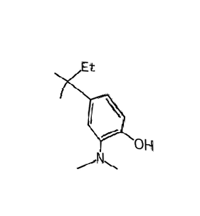 CCC(C)(C)c1ccc(O)c(N(C)C)c1